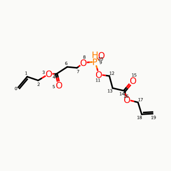 C=CCOC(=O)CCO[PH](=O)OCCC(=O)OCC=C